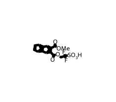 COC(=O)C1C2CC(C1C(=O)OCC(F)(F)S(=O)(=O)O)C1C3C=CC(C3)C21